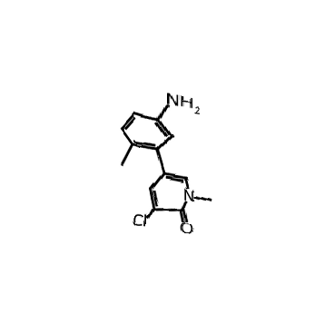 Cc1ccc(N)cc1-c1cc(Cl)c(=O)n(C)c1